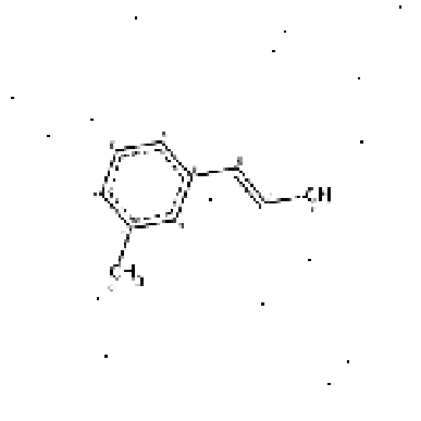 Cc1cccc(C=CC#N)c1